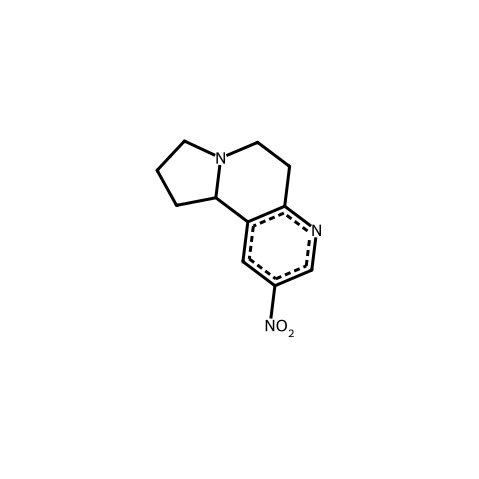 O=[N+]([O-])c1cnc2c(c1)C1CCCN1CC2